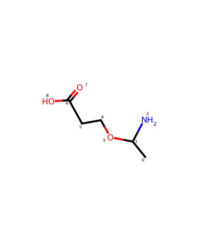 CC(N)OCCC(=O)O